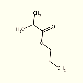 [CH2]CCOC(=O)C([CH2])C